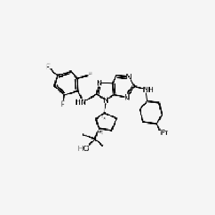 CC(C)C1CCC(Nc2ncc3nc(Nc4c(F)cc(F)cc4F)n([C@H]4CC[C@@H](C(C)(C)O)C4)c3n2)CC1